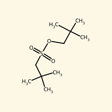 CC(C)(C)COS(=O)(=O)CC(C)(C)C